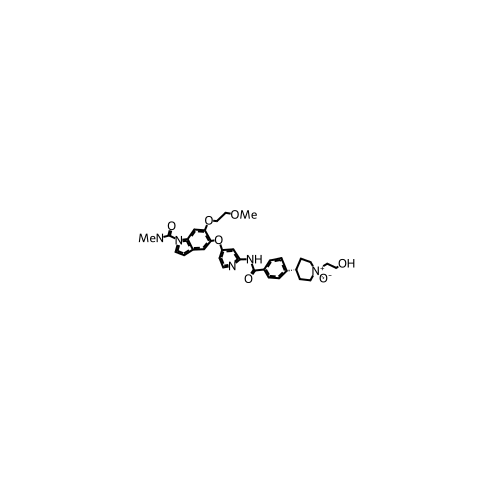 CNC(=O)n1ccc2cc(Oc3ccnc(NC(=O)c4ccc([C@H]5CC[N@+]([O-])(CCO)CC5)cc4)c3)c(OCCOC)cc21